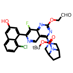 CC(C)(C)OC(=O)N1C2CCC1CN(c1nc(OCC=O)nc3c(F)c(-c4cc(O)cc5cccc(Cl)c45)ncc13)C2